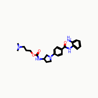 CN(C)CCCOC(=O)NC1CCN(c2ccc(C(=O)Nc3ccccc3N)cc2)C1